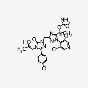 C[C@H](OC(N)=O)c1nc(Cn2nc(-c3ccc(Cl)cc3)n(C[C@H](O)C(F)(F)F)c2=O)nn1-c1c(Cl)cncc1Cl